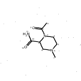 CC(=O)N1CCN(C)CC1C(N)=O